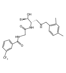 CC[C@@H](O)[C@H](CNCc1ccc(C)cc1C)NC(=O)CNC(=O)c1cccc(C(F)(F)F)c1